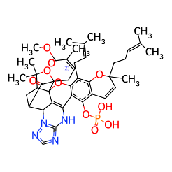 COC(=O)/C(C)=C\CC12OC(C)(C)C3CC(C1=O)C1C4=C(Nc5ncnn51)c1c(OP(=O)(O)O)c5c(c(CC=C(C)C)c1OC432)OC(C)(CCC=C(C)C)C=C5